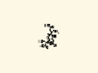 NC(CC(=O)O)C(=O)NC(CC(=O)O)C(=O)NC(CS)C(=O)O